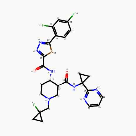 O=C(N[C@H]1CCN(CC2(F)CC2)C[C@@H]1C(=O)NC1(c2ncccn2)CC1)c1nnc(-c2ccc(F)cc2F)s1